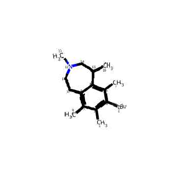 Cc1c(C)c(C(C)(C)C)c(C)c2c1CCN(C)CC2C